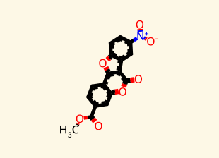 COC(=O)c1ccc2c(c1)oc(=O)c1c3cc([N+](=O)[O-])ccc3oc21